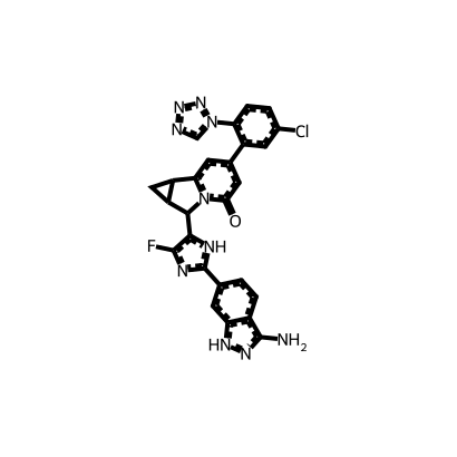 Nc1n[nH]c2cc(-c3nc(F)c(C4C5CC5c5cc(-c6cc(Cl)ccc6-n6cnnn6)cc(=O)n54)[nH]3)ccc12